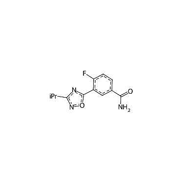 CC(C)c1noc(-c2cc(C(N)=O)ccc2F)n1